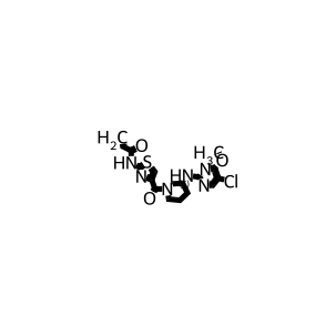 C=CC(=O)Nc1nc(C(=O)N2CCC[C@H](Nc3ncc(Cl)c(OC)n3)C2)cs1